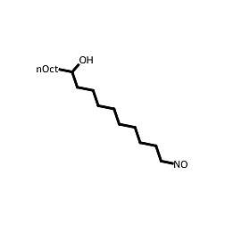 CCCCCCCCC(O)CCCCCCCCCN=O